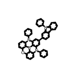 c1ccc(N2c3cccc4c3B3c5c(cccc5N(c5ccccc5)c5cc(-c6ccc7c8ccccc8n(-c8ccccc8)c7c6)cc2c53)O4)cc1